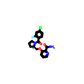 NC(=O)c1ncccc1OC[C@H]1CCCN1C(=O)c1ccc(Cl)cc1F